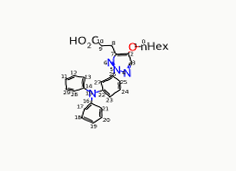 CCCCCCOc1cnnnc1CCC(=O)O.c1ccc(N(c2ccccc2)c2ccccc2)cc1